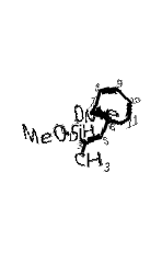 CO[SiH](OC)C(C)=Cc1ccccc1